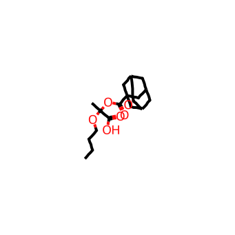 CCCCOC(C)(OC(=O)C12CC3CC(C1)C(=O)C(C3)C2)C(=O)O